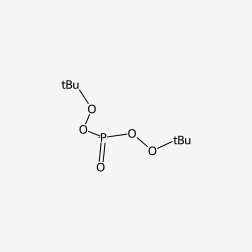 CC(C)(C)OO[P](=O)OOC(C)(C)C